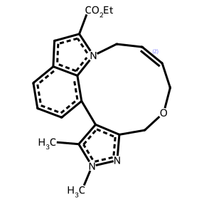 CCOC(=O)c1cc2cccc3c2n1C/C=C\COCc1nn(C)c(C)c1-3